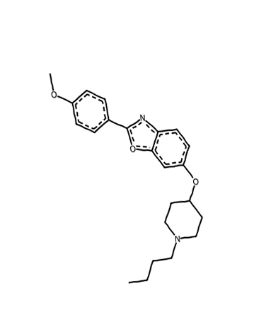 CCCCN1CCC(Oc2ccc3nc(-c4ccc(OC)cc4)oc3c2)CC1